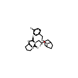 O=c1nc2n(c(=O)n1C[C@H](F)CN1C3CCC1CC(OCc1ccc(F)cc1)C3)CCC2